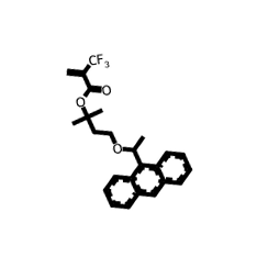 C=C(C(=O)OC(C)(C)CCOC(C)c1c2ccccc2cc2ccccc12)C(F)(F)F